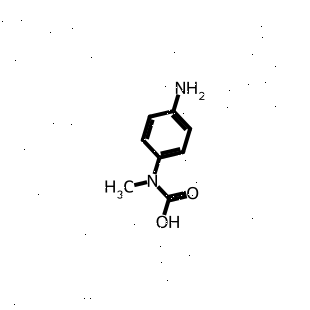 CN(C(=O)O)c1ccc(N)cc1